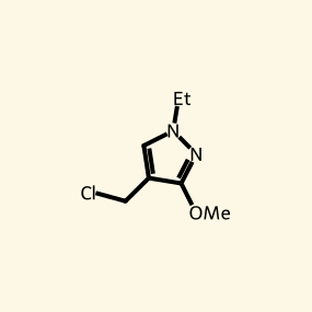 CCn1cc(CCl)c(OC)n1